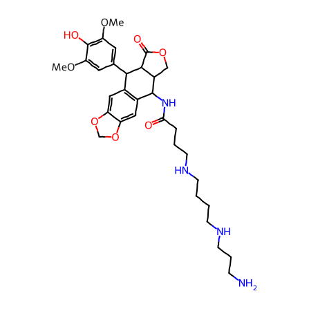 COc1cc(C2c3cc4c(cc3C(NC(=O)CCCNCCCCNCCCN)C3COC(=O)C23)OCO4)cc(OC)c1O